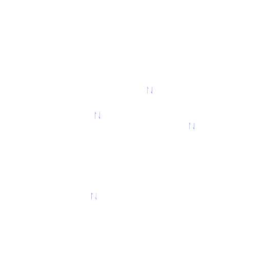 Cn1ccc2c1C(C)(C)C(C)(C)N=C2c1cnc2ccccc2n1